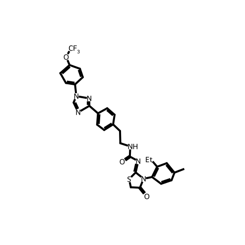 CCc1cc(C)ccc1N1C(=O)CS/C1=N\C(=O)NCCc1ccc(-c2ncn(-c3ccc(OC(F)(F)F)cc3)n2)cc1